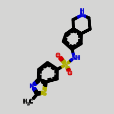 Cc1nc2ccc(S(=O)(=O)Nc3ccc4c(c3)CCNC4)cc2s1